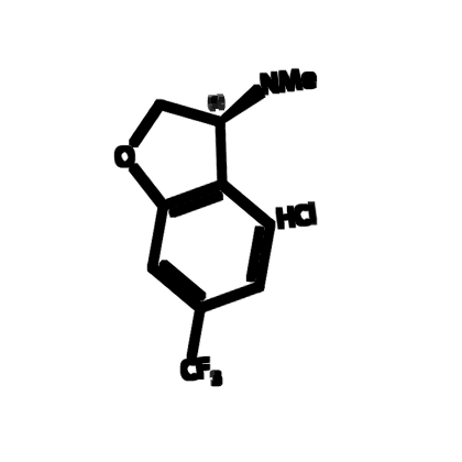 CN[C@@H]1COc2cc(C(F)(F)F)ccc21.Cl